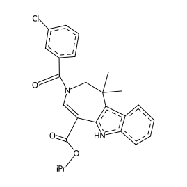 CC(C)OC(=O)C1=CN(C(=O)c2cccc(Cl)c2)CC(C)(C)c2c1[nH]c1ccccc21